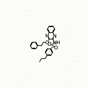 CCCc1ccc(S(=O)(=O)Nc2nc3ccccc3nc2OCCc2ccccc2)cc1